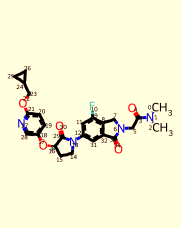 CN(C)C(=O)CN1Cc2c(F)cc(N3CC[C@@H](Oc4ccc(OCC5CC5)nc4)C3=O)cc2C1=O